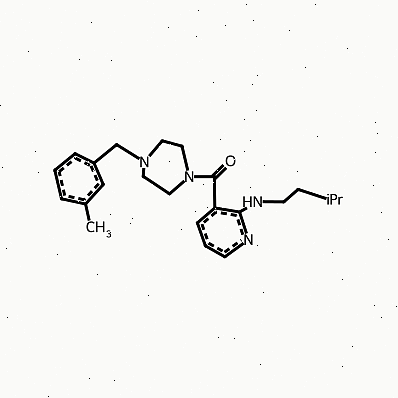 Cc1cccc(CN2CCN(C(=O)c3cccnc3NCCC(C)C)CC2)c1